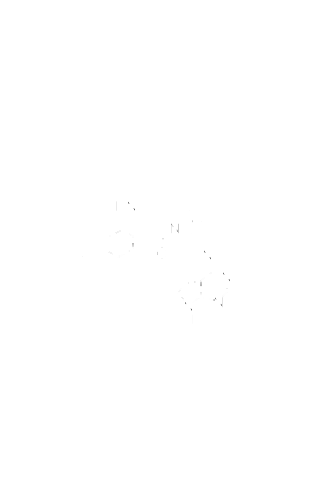 CC(C)NCC(C(=O)N1CCOC1CN(C)c1ncnc2[nH]ccc12)c1ccc(Cl)cc1